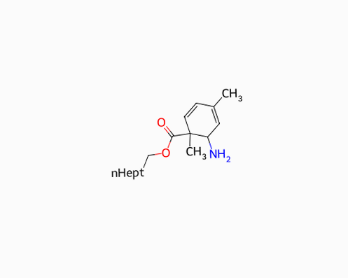 CCCCCCCCOC(=O)C1(C)C=CC(C)=CC1N